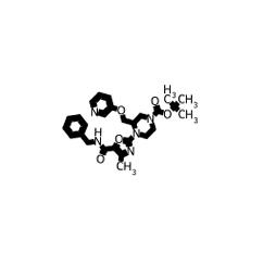 Cc1nc(N2CCN(C(=O)OC(C)(C)C)CC2COc2cccnc2)oc1C(=O)NCc1ccccc1